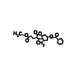 CCOC(=O)CCc1c(C)c2ccc(OCC(=O)c3ccccc3)cc2oc1=O